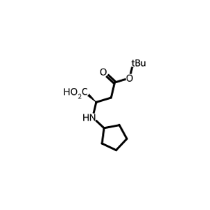 CC(C)(C)OC(=O)C[C@@H](NC1CCCC1)C(=O)O